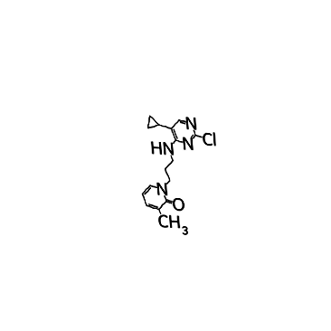 Cc1cccn(CCCNc2nc(Cl)ncc2C2CC2)c1=O